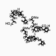 COC(=O)CCNC(=O)[C@@H]1OP(=O)(NC(Cc2cccnc2)C(=O)O)OCC1(C)C.COC(=O)CCNC(=O)[C@@H]1O[PH](O)(N[C@H](C)C(=O)OCCc2scnc2C)OCC1(C)C.Cc1ncsc1CCOC(=O)[C@H](C)N[PH]1(O)OCC(C)(C)[C@H](C(=O)NC[C@H](C)C(=O)O)O1